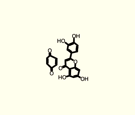 O=C1C=CC(=O)C=C1.O=c1cc(-c2ccc(O)c(O)c2)oc2cc(O)cc(O)c12